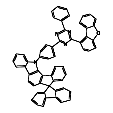 c1ccc(-c2nc(-c3ccc(-n4c5ccccc5c5ccc6c(c54)-c4ccccc4C64c5ccccc5-c5ccccc54)cc3)nc(-c3cccc4oc5ccccc5c34)n2)cc1